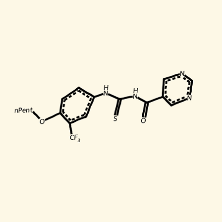 CCCCCOc1ccc(NC(=S)NC(=O)c2cncnc2)cc1C(F)(F)F